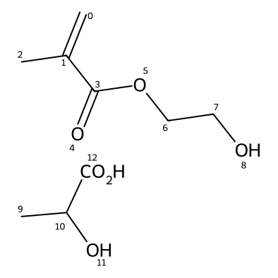 C=C(C)C(=O)OCCO.CC(O)C(=O)O